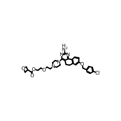 Nc1nc2c(c(N3CCN(CCOCCOC(=O)C4COC4)CC3)n1)CCc1cc(OCc3ccc(Cl)cc3)ccc1-2